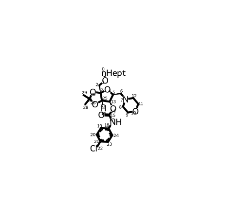 CCCCCCCOC[C@@]12O[C@@H](CN3CCOCC3)[C@@H](OC(=O)Nc3ccc(Cl)cc3)[C@@H]1OC(C)(C)O2